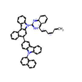 C=C\C=C/C=C/C=C1\C=CC=C\C1=N\C(=N)n1c2ccccc2c2c3ccccc3c(-c3ccc4c(c3)c3ccccc3n4-c3cccc4ccccc34)cc21